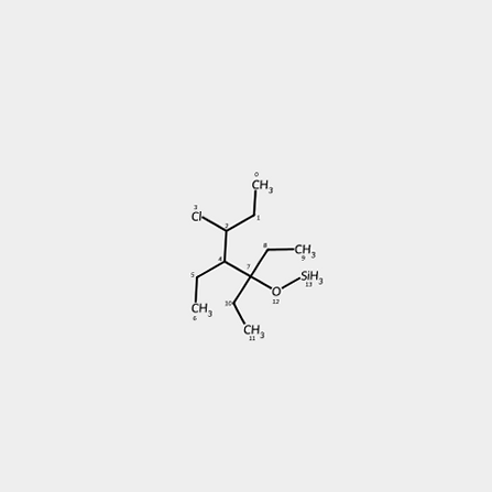 CCC(Cl)C(CC)C(CC)(CC)O[SiH3]